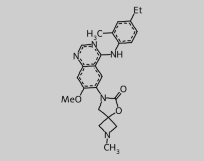 CCc1ccc(Nc2ncnc3cc(OC)c(N4CC5(CN(C)C5)OC4=O)cc23)c(C)c1